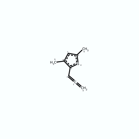 C=C=Cc1sc(C)cc1C